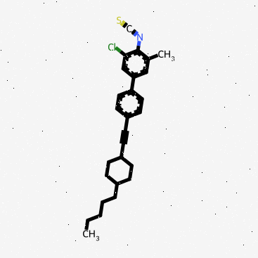 CCCCCC1CCC(C#Cc2ccc(-c3cc(C)c(N=C=S)c(Cl)c3)cc2)CC1